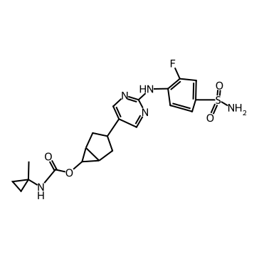 CC1(NC(=O)OC2C3CC(c4cnc(Nc5ccc(S(N)(=O)=O)cc5F)nc4)CC32)CC1